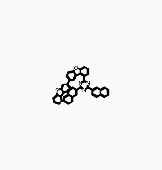 c1ccc2cc(-c3nc(-c4ccc5ccccc5c4)nc(-c4cccc5oc6ccc(-c7ccc8c(c7)sc7ccccc78)cc6c45)n3)ccc2c1